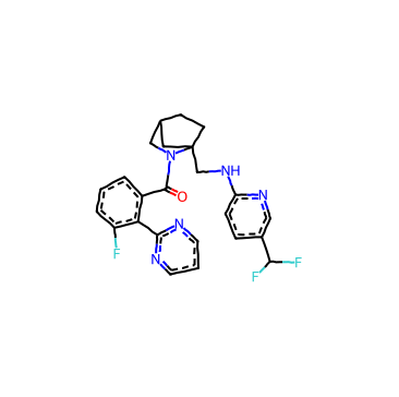 O=C(c1cccc(F)c1-c1ncccn1)N1CC2CCC1(CNc1ccc(C(F)F)cn1)C2